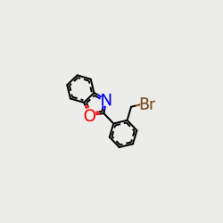 BrCc1ccccc1-c1nc2ccccc2o1